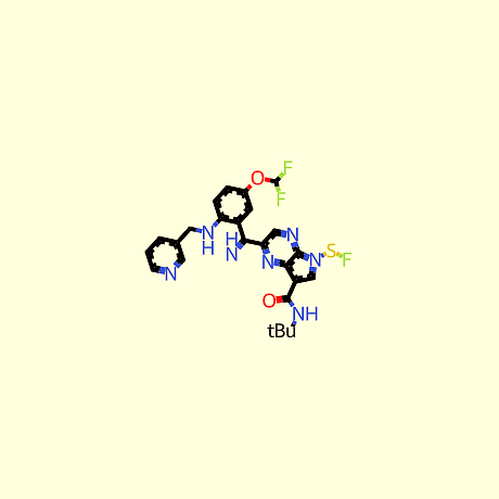 CC(C)(C)NC(=O)c1cn(SF)c2ncc(C(=N)c3cc(OC(F)F)ccc3NCc3cccnc3)nc12